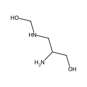 NC(CO)CNCO